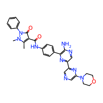 Cc1c(C(=O)Nc2ccc(-c3nc(-c4cncc(N5CCOCC5)n4)cnc3N)cc2)c(=O)n(-c2ccccc2)n1C